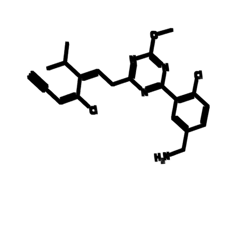 C#C/C=C(Cl)\C(=C/Cc1nc(OC)nc(-c2cc(CN)ccc2Cl)n1)C(C)C